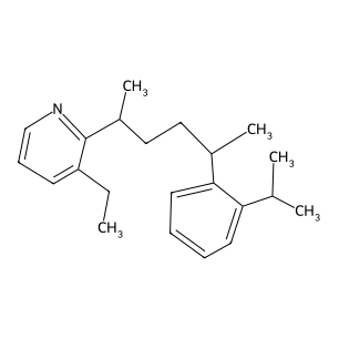 CCc1cccnc1C(C)CCC(C)c1ccccc1C(C)C